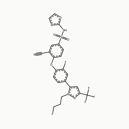 N#Cc1cc(S(=O)(=O)Nc2nccs2)ccc1Oc1ccc(-c2cc(C(F)(F)F)nn2CCCF)cc1F